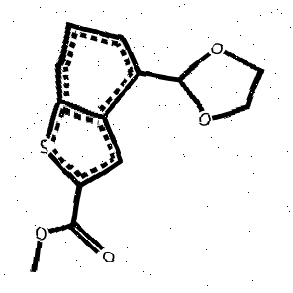 COC(=O)c1cc2c(C3OCCO3)cccc2s1